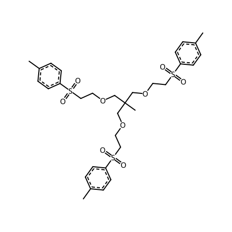 Cc1ccc(S(=O)(=O)CCOCC(C)(COCCS(=O)(=O)c2ccc(C)cc2)COCCS(=O)(=O)c2ccc(C)cc2)cc1